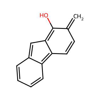 C=c1ccc2c(c1O)C=c1ccccc1=2